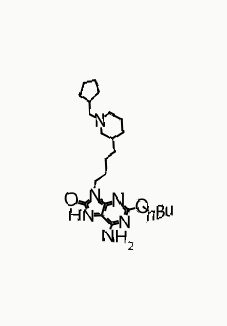 CCCCOc1nc(N)c2[nH]c(=O)n(CCCCC3CCCN(CC4CCCC4)C3)c2n1